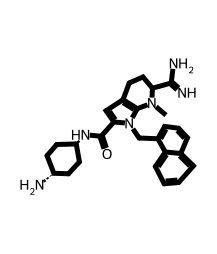 CN1c2c(cc(C(=O)N[C@H]3CC[C@@H](N)CC3)n2Cc2cccc3ccccc23)CCC1C(=N)N